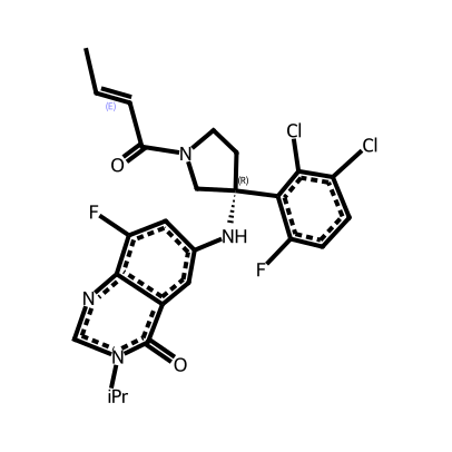 C/C=C/C(=O)N1CC[C@@](Nc2cc(F)c3ncn(C(C)C)c(=O)c3c2)(c2c(F)ccc(Cl)c2Cl)C1